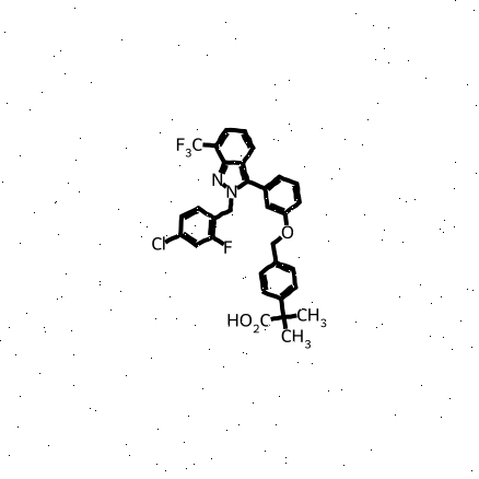 CC(C)(C(=O)O)c1ccc(COc2cccc(-c3c4cccc(C(F)(F)F)c4nn3Cc3ccc(Cl)cc3F)c2)cc1